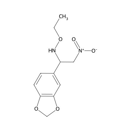 CCONC(C[N+](=O)[O-])c1ccc2c(c1)OCO2